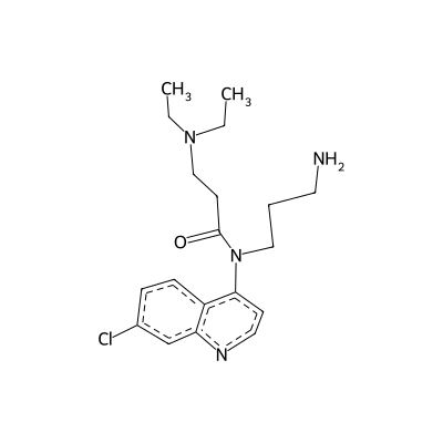 CCN(CC)CCC(=O)N(CCCN)c1ccnc2cc(Cl)ccc12